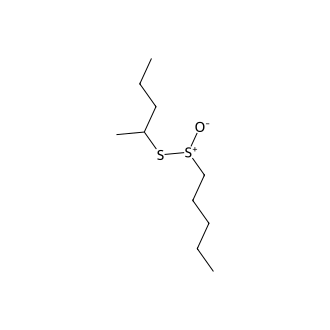 CCCCC[S+]([O-])SC(C)CCC